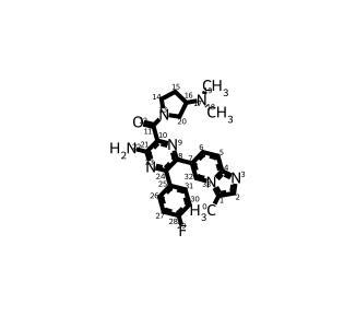 Cc1cnc2ccc(-c3nc(C(=O)N4CCC(N(C)C)C4)c(N)nc3-c3ccc(F)cc3)cn12